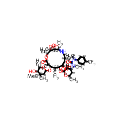 CC[C@H]1OC(=O)C(C)[C@@H](O[C@H]2C[C@@](C)(OC)[C@@H](O)[C@H](C)O2)[C@H](C)[C@@H](O[C@@H]2O[C@H](C)C[C@H](N(C)C(=O)N(C)c3ccc(C(F)(F)F)cc3)[C@H]2O)[C@](C)(O)C[C@@H](C)CN[C@H](C)[C@@H](O)[C@]1(C)O